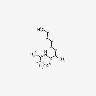 CCCCCCC(C)C(CC)NC(C)O